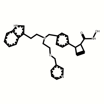 O=C(NO)C1C#CC1c1ccc(CN(CCOCc2cccnc2)CCc2c[nH]c3ccccc23)cc1